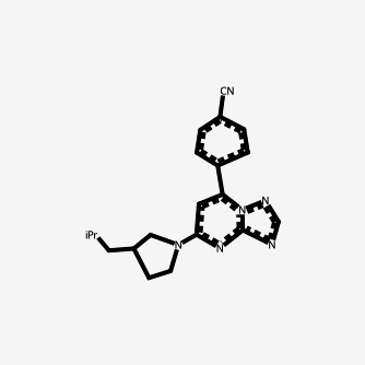 CC(C)CC1CCN(c2cc(-c3ccc(C#N)cc3)n3ncnc3n2)C1